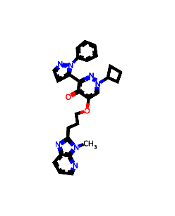 Cn1c(CCCOc2cn(C3CCC3)nc(-c3ccnn3-c3ccccc3)c2=O)nc2cccnc21